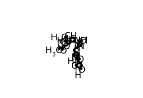 CNC(=O)COc1cc2cc(Nc3nc(NCCc4ccc(C(=O)NC5CCC(=O)NC5=O)nc4)ncc3Cl)ccc2n(C(C)C)c1=O